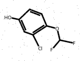 Oc1ccc(OC(F)F)c(Cl)c1